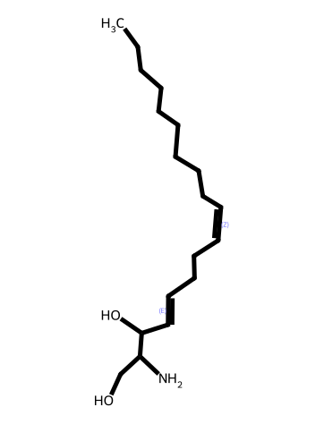 CCCCCCCCC/C=C\CC/C=C/C(O)C(N)CO